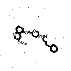 COc1cnc2cccc(OC[C@@H]3CC[C@@H](NCC=Cc4ccccc4)CO3)c2c1